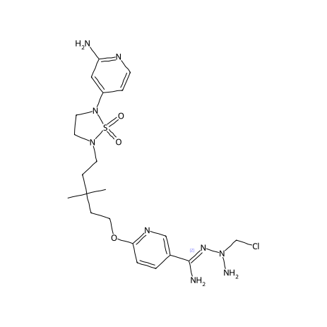 CC(C)(CCOc1ccc(/C(N)=N/N(N)CCl)cn1)CCN1CCN(c2ccnc(N)c2)S1(=O)=O